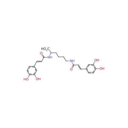 O=C(C=Cc1ccc(O)c(O)c1)NCCCCC(NC(=O)C=Cc1ccc(O)c(O)c1)C(=O)O